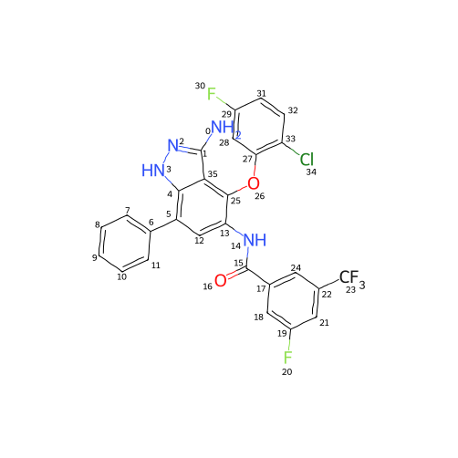 Nc1n[nH]c2c(-c3ccccc3)cc(NC(=O)c3cc(F)cc(C(F)(F)F)c3)c(Oc3cc(F)ccc3Cl)c12